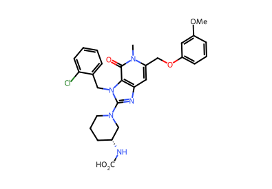 COc1cccc(OCc2cc3nc(N4CCC[C@@H](NC(=O)O)C4)n(Cc4ccccc4Cl)c3c(=O)n2C)c1